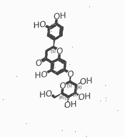 O=C1C[C@@H](c2ccc(O)c(O)c2)Oc2cc(O[C@@H]3O[C@H](CO)[C@@H](O)[C@H](O)[C@H]3O)cc(O)c21